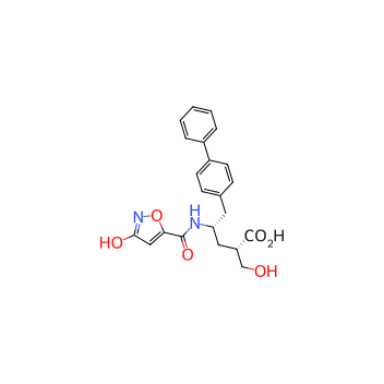 O=C(N[C@H](Cc1ccc(-c2ccccc2)cc1)C[C@@H](CO)C(=O)O)c1cc(O)no1